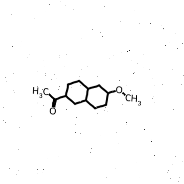 COC1CCC2CC(C(C)=O)CCC2C1